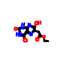 CCOC(=O)Cc1nc2c(=O)[nH]c(=O)[nH]c2nc1O